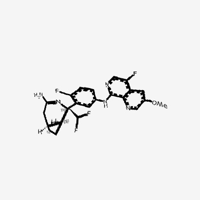 COc1cnc2c(Nc3ccc(F)c([C@@]4(C(F)F)N=C(N)C[C@@H]5C[C@@H]54)c3)ncc(F)c2c1